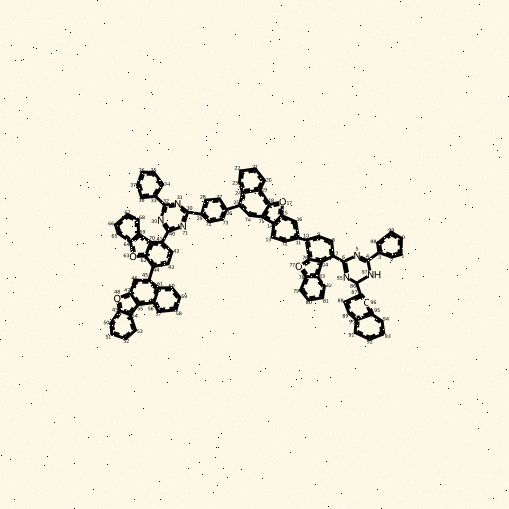 c1ccc(C2=NC(c3ccc(-c4ccc5c(c4)oc4c6ccccc6c(-c6ccc(-c7nc(-c8ccccc8)nc(-c8ccc(-c9cc%10oc%11ccccc%11c%10c%10ccccc9%10)c9oc%10ccccc%10c89)n7)cc6)cc54)c4oc5ccccc5c34)=NC(c3ccc4ccccc4c3)N2)cc1